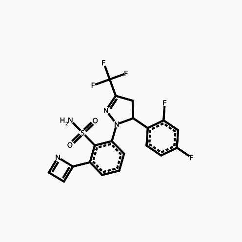 NS(=O)(=O)c1c(C2=CC=N2)cccc1N1N=C(C(F)(F)F)CC1c1ccc(F)cc1F